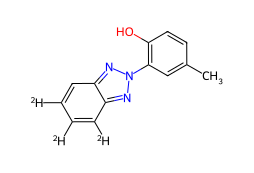 [2H]c1cc2nn(-c3cc(C)ccc3O)nc2c([2H])c1[2H]